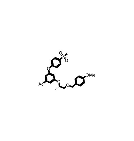 COc1ccc(COC[C@H](C)Oc2cc(Oc3ccc(S(C)(=O)=O)cc3)cc(C(C)=O)c2)cc1